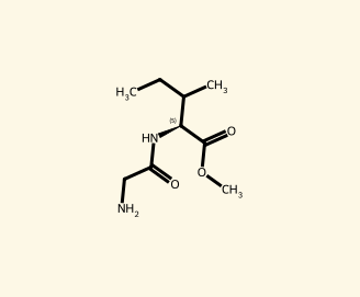 CCC(C)[C@H](NC(=O)CN)C(=O)OC